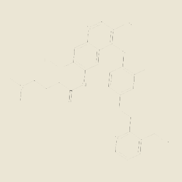 CCOc1cc2ncc(C#N)c(Nc3ccc(OCc4ncccc4CO)cc3Cl)c2cc1NC(=O)CCCN(C)C